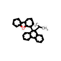 CC(C)c1c(-c2cccc3c2oc2ccccc23)c2ccccc2c2ccccc12